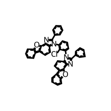 Clc1c(-n2c(-c3ccccc3)nc3c4oc5ccccc5c4ccc32)cccc1-n1c(-c2ccccc2)nc2c3oc4ccccc4c3ccc21